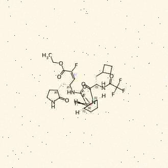 CCOC(=O)/C(F)=C\[C@@H](C[C@H]1CCNC1=O)NC(=O)[C@H]1[C@@H]2CC[C@@H](CC2(F)F)N1C(=O)[C@H](CC1CCC1)NC(=O)C(F)(F)F